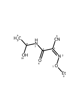 CCON=C(C#N)C(=O)NC(C)O